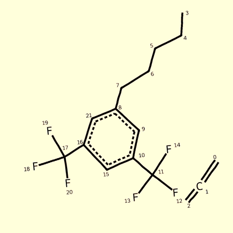 C=C=C.CCCCCc1cc(C(F)(F)F)cc(C(F)(F)F)c1